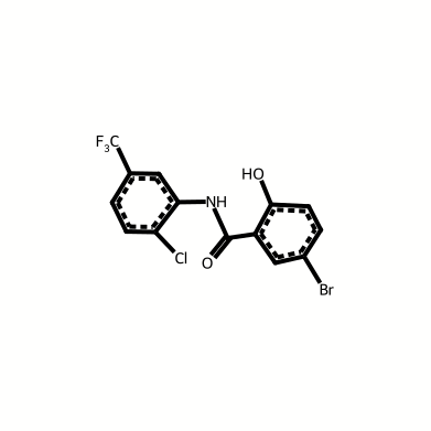 O=C(Nc1cc(C(F)(F)F)ccc1Cl)c1cc(Br)ccc1O